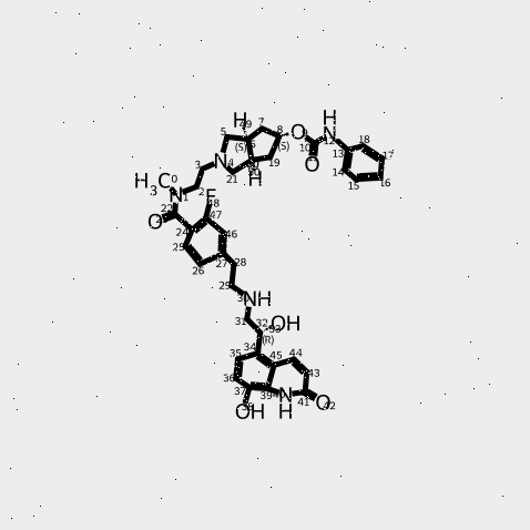 CN(CCN1C[C@H]2C[C@H](OC(=O)Nc3ccccc3)C[C@H]2C1)C(=O)c1ccc(CCNC[C@H](O)c2ccc(O)c3[nH]c(=O)ccc23)cc1F